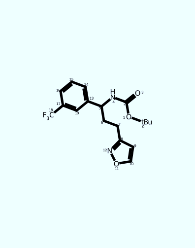 CC(C)(C)OC(=O)NC(CCc1ccon1)c1cccc(C(F)(F)F)c1